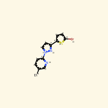 CCc1ccc(-n2ccc(-c3ccc(Br)s3)n2)nc1